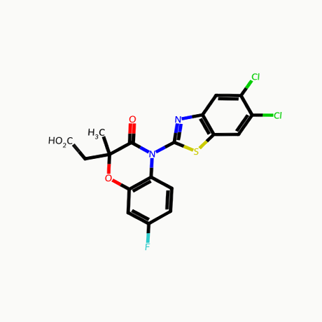 CC1(CC(=O)O)Oc2cc(F)ccc2N(c2nc3cc(Cl)c(Cl)cc3s2)C1=O